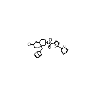 O=C1C=C2CCN(S(=O)(=O)c3ccc(-c4ccccn4)s3)CC2(CC2C3=CC=CC2C3)CC1